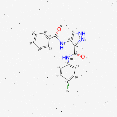 O=C(Nc1c[nH]nc1C(=O)Nc1ccc(F)cc1)c1ccccc1